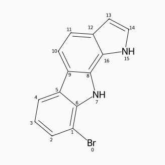 Brc1cccc2c1[nH]c1c2ccc2cc[nH]c21